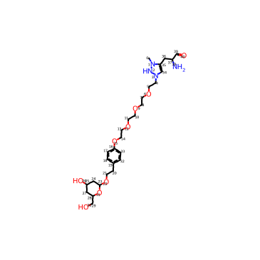 CN1NN(CCOCCOCCOCCOc2ccc(CCOC3CC(O)CC(CO)O3)cc2)C=C1CC(N)C=O